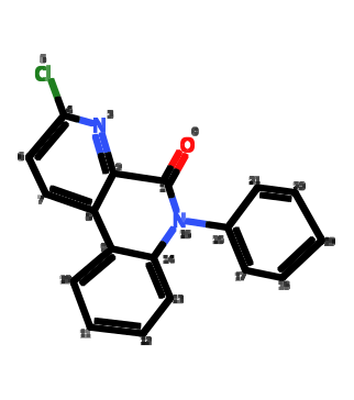 O=c1c2nc(Cl)ccc2c2ccccc2n1-c1ccccc1